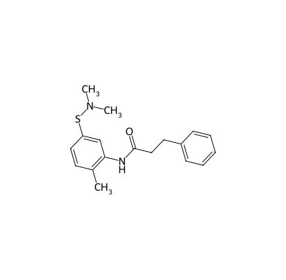 Cc1ccc(SN(C)C)cc1NC(=O)CCc1ccccc1